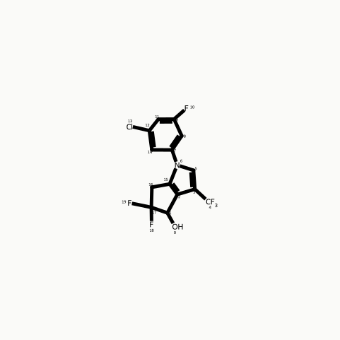 OC1c2c(C(F)(F)F)cn(-c3cc(F)cc(Cl)c3)c2CC1(F)F